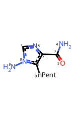 CCCCCc1c(C(N)=O)ncn1N